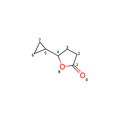 O=C1CCC(C2CC2)O1